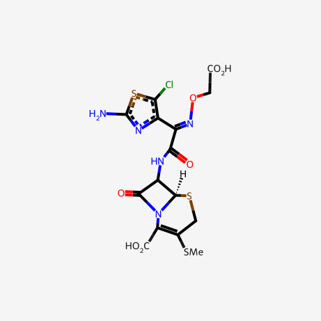 CSC1=C(C(=O)O)N2C(=O)C(NC(=O)/C(=N/OCC(=O)O)c3nc(N)sc3Cl)[C@H]2SC1